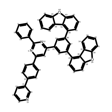 c1ccc(-c2nc(-c3ccc(-c4cccnc4)cc3)cc(-c3cc(-c4cccc5oc6ccccc6c45)cc(-c4cccc5oc6ccccc6c45)c3)n2)cc1